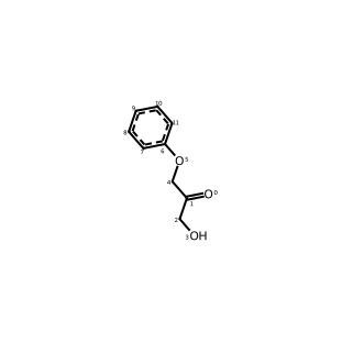 O=C(CO)COc1ccccc1